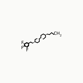 C=CCCC[C@H]1CC[C@H]([C@H]2CC[C@H](CCc3cc(F)c(F)c(F)c3)CC2)CC1